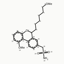 COCCCCCCC1Oc2cccc(OC)c2-c2ccc(CS(N)(=O)=O)cc21